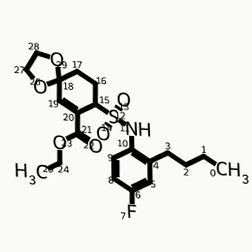 CCCCc1cc(F)ccc1NS(=O)(=O)C1CCC2(C=C1C(=O)OCC)OCCO2